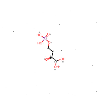 O=C(CCOP(=O)(O)O)C(O)O